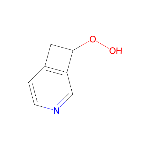 OOC1Cc2ccncc21